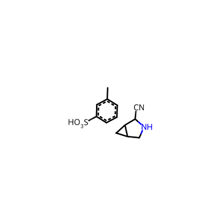 Cc1cccc(S(=O)(=O)O)c1.N#CC1NCC2CC21